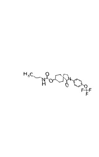 CCCNC(=O)O[C@H]1CC[C@]2(CCN(c3ccc(OC(F)(F)F)cc3)C2=O)CC1